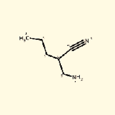 CCCC(C#N)CN